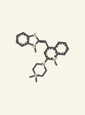 CN1C(=Cc2cc(N3CC[N+](C)(C)CC3)[n+](C)c3ccccc23)Sc2ccccc21